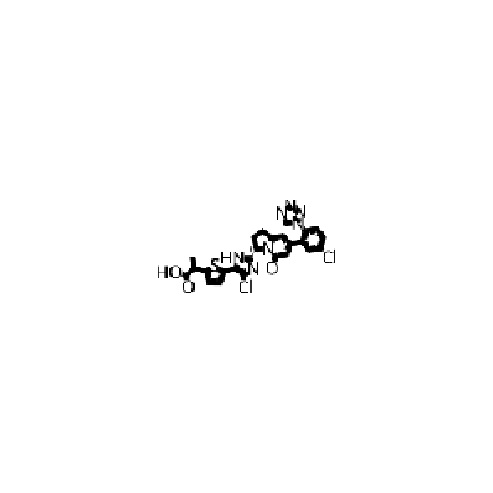 CC(C(=O)O)c1ccc(-c2[nH]c([C@@H]3CCc4cc(-c5cc(Cl)ccc5-n5cnnn5)cc(=O)n43)nc2Cl)s1